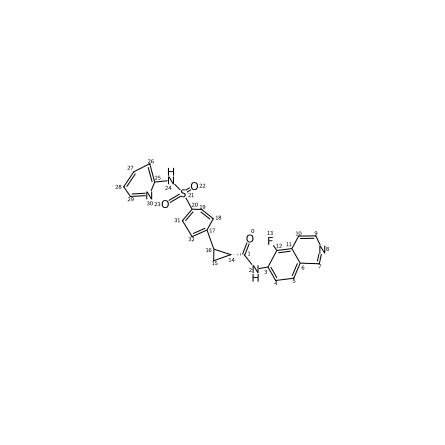 O=C(Nc1ccc2cnccc2c1F)[C@@H]1CC1c1ccc(S(=O)(=O)Nc2ccccn2)cc1